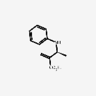 C=C(C(=O)OCC)[C@H](C)Nc1ccccc1